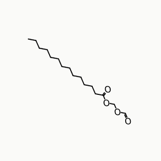 CCCCCCCCCCCCCC(=O)OCOC=O